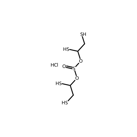 Cl.O=S(OC(S)CS)OC(S)CS